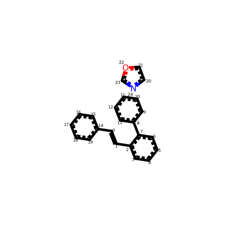 C(=Cc1ccccc1-c1ccccc1)c1ccccc1.c1cocn1